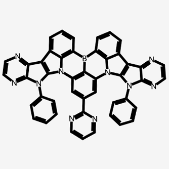 c1ccc(-n2c3nccnc3c3c4cccc5c4n(c32)-c2cc(-c3ncccn3)cc3c2B5c2cccc4c5c6nccnc6n(-c6ccccc6)c5n-3c24)cc1